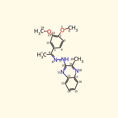 COc1ccc(C(C)=NNc2nc3ccccc3nc2C)cc1OC